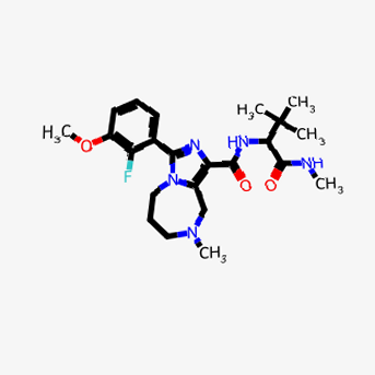 CNC(=O)C(NC(=O)c1nc(-c2cccc(OC)c2F)n2c1CN(C)CCC2)C(C)(C)C